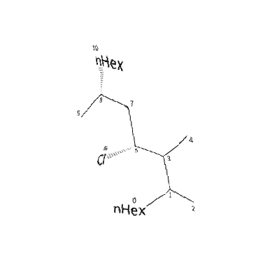 CCCCCCC(C)C(C)[C@H](Cl)C[C@H](C)CCCCCC